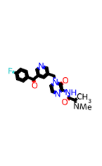 CNC(C)C(=O)Nc1nccn(Cc2cncc(C(=O)c3ccc(F)cc3)c2)c1=O